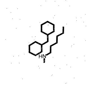 C1CCC(CC2CCCCC2)CC1.CCCCCCNC